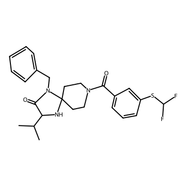 CC(C)C1NC2(CCN(C(=O)c3cccc(SC(F)F)c3)CC2)N(Cc2ccccc2)C1=O